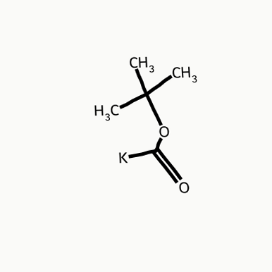 CC(C)(C)O[C](=O)[K]